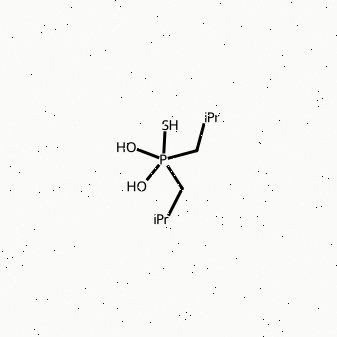 CC(C)CP(O)(O)(S)CC(C)C